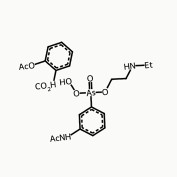 CC(=O)Oc1ccccc1C(=O)O.CCNCCO[As](=O)(OO)c1cccc(NC(C)=O)c1